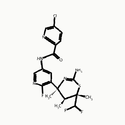 C[C@H]1[C@@](C)(c2cc(NC(=O)c3ccc(Cl)cn3)cnc2F)N=C(N)S[C@]1(C)C(F)F